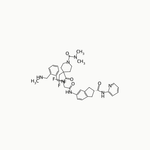 CNCc1ccccc1CN(CC(=O)Nc1ccc2c(c1)C[C@H](C(=O)Nc1ccccn1)C2)C(=O)C1(CC(F)(F)F)CCN(C(=O)N(C)C)CC1